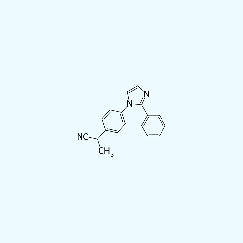 CC(C#N)c1ccc(-n2ccnc2-c2ccccc2)cc1